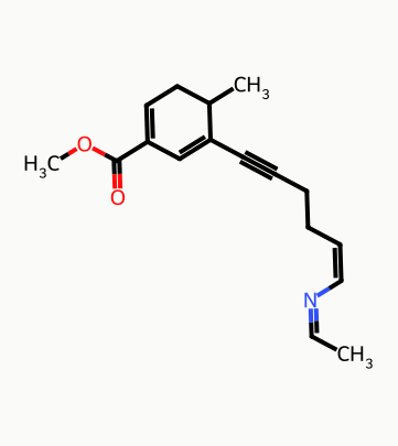 C/C=N\C=C/CCC#CC1=CC(C(=O)OC)=CCC1C